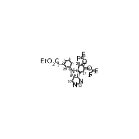 CCOC(=O)Cc1cccc(N(Cc2cncnc2)c2ccc(OC(F)F)c(OC(F)F)c2)c1